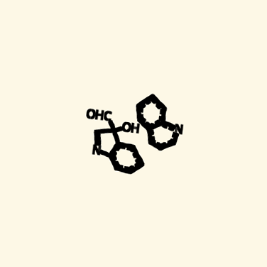 O=CC1(O)C=Nc2ccccc21.c1ccc2ncccc2c1